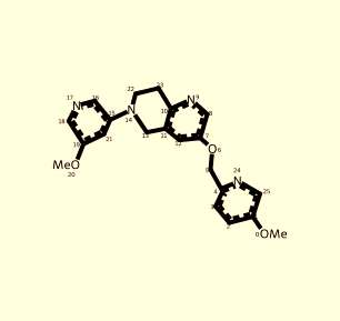 COc1ccc(COc2cnc3c(c2)CN(c2cncc(OC)c2)CC3)nc1